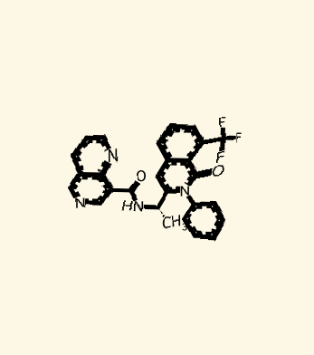 C[C@H](NC(=O)c1cncc2cccnc12)c1cc2cccc(C(F)(F)F)c2c(=O)n1-c1ccccc1